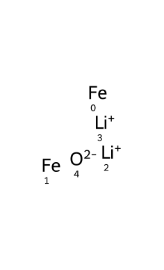 [Fe].[Fe].[Li+].[Li+].[O-2]